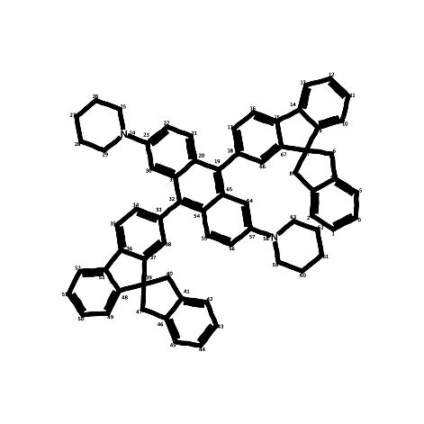 c1ccc2c(c1)CC1(C2)c2ccccc2-c2ccc(-c3c4ccc(N5CCCCC5)cc4c(-c4ccc5c(c4)C4(Cc6ccccc6C4)c4ccccc4-5)c4ccc(N5CCCCC5)cc34)cc21